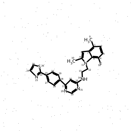 Cc1ccc(F)c2c1cc(C)n2CCNc1cc(-c2ccc(-c3nccs3)cc2)ncn1